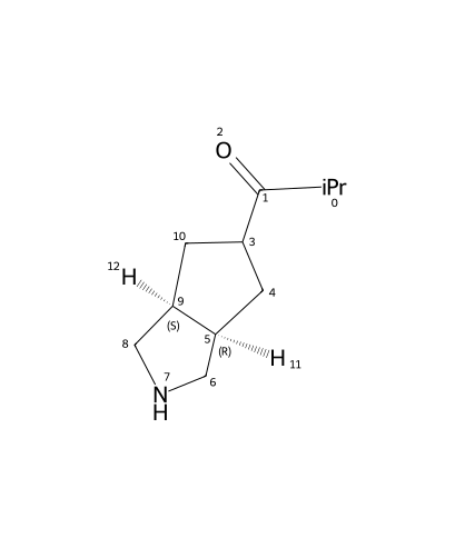 CC(C)C(=O)C1C[C@H]2CNC[C@H]2C1